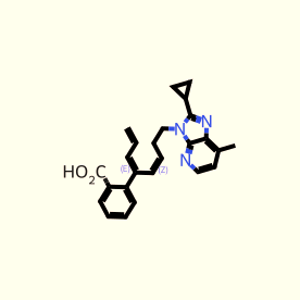 C=C/C=C(\C=C/CCn1c(C2CC2)nc2c(C)ccnc21)c1ccccc1C(=O)O